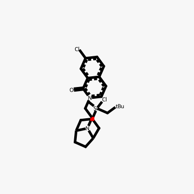 CC(C)(C)C[Si](C)(Cl)C1CC2CCC(C1)N2CCn1ccc2ccc(Cl)cc2c1=O